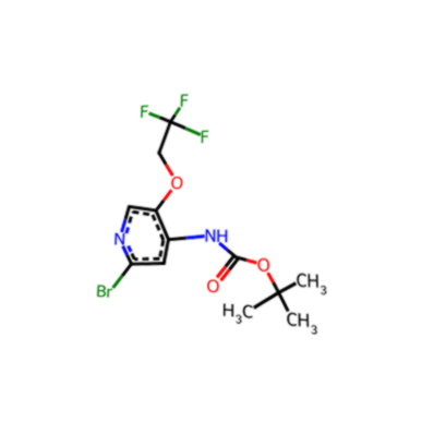 CC(C)(C)OC(=O)Nc1cc(Br)ncc1OCC(F)(F)F